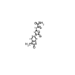 Cn1c(=O)sc2cc(N3C[C@@H](C[N+](=S)C(N)=O)OC3=O)ccc21